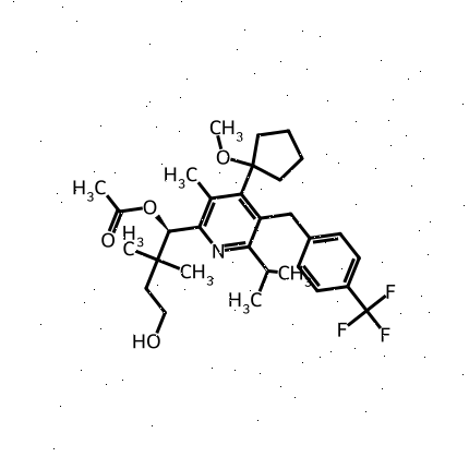 COC1(c2c(C)c([C@H](OC(C)=O)C(C)(C)CCO)nc(C(C)C)c2Cc2ccc(C(F)(F)F)cc2)CCCC1